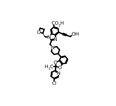 CC1(c2ccc(Cl)cn2)Oc2cccc(C3CCN(Cc4nc5c(C#CCO)cc(C(=O)O)cc5n4C[C@@H]4CCO4)CC3)c2O1